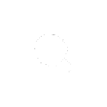 O=[C]N1CCCCCCCCCO1